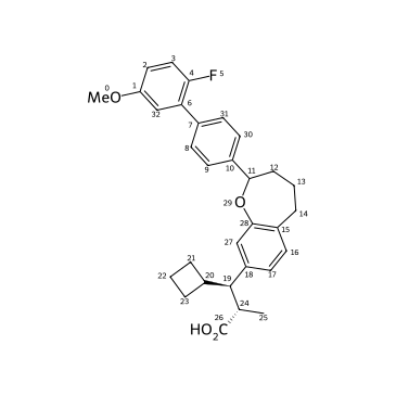 COc1ccc(F)c(-c2ccc(C3CCCc4ccc([C@H](C5CCC5)[C@H](C)C(=O)O)cc4O3)cc2)c1